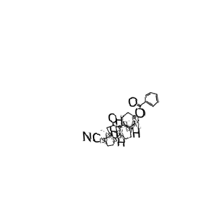 C[C@H]1[C@H](OC(=O)c2ccccc2)CC[C@@]2(C)[C@H]1CC[C@H]1[C@@H]3CC[C@H](C#N)[C@@]3(C)CC(=O)[C@@H]12